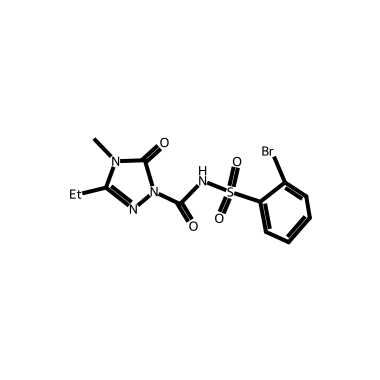 CCc1nn(C(=O)NS(=O)(=O)c2ccccc2Br)c(=O)n1C